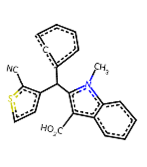 Cn1c(C(c2ccccc2)c2ccsc2C#N)c(C(=O)O)c2ccccc21